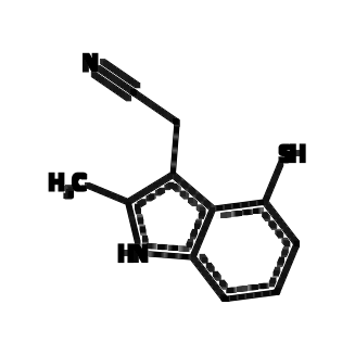 Cc1[nH]c2cccc(S)c2c1CC#N